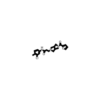 Cc1ccc(NC(=O)CCN2CC3CN(C(=O)c4ccco4)CC3C2)cc1Cl